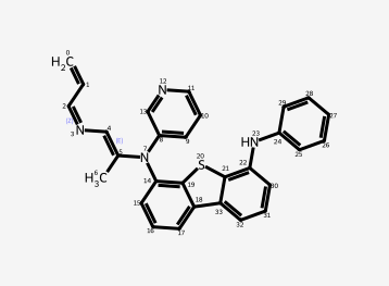 C=C/C=N\C=C(/C)N(c1cccnc1)c1cccc2c1sc1c(Nc3ccccc3)cccc12